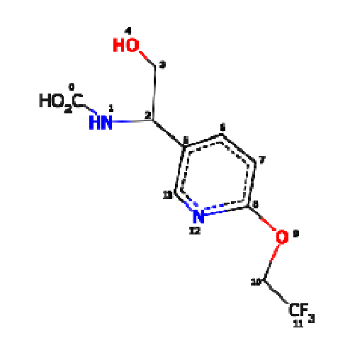 O=C(O)NC(CO)c1ccc(OCC(F)(F)F)nc1